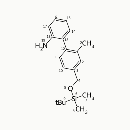 Cc1cc(CO[Si](C)(C)C(C)(C)C)ccc1-c1ccccc1N